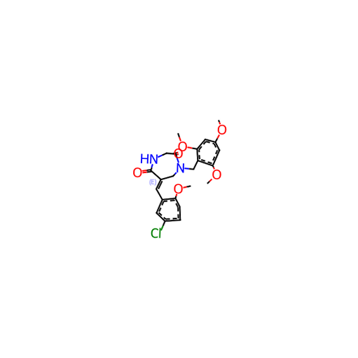 COc1cc(OC)c(CN2C/C(=C\c3cc(Cl)ccc3OC)C(=O)NCC2=O)c(OC)c1